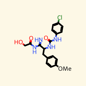 COc1ccc(CC(NC(=O)Nc2ccc(Cl)cc2)C(=N)NC(=O)CO)cc1